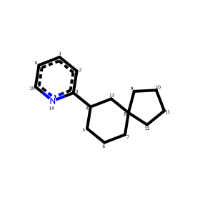 c1ccc(C2CCCC3(CCCC3)C2)nc1